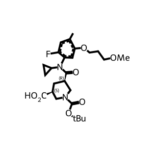 COCCCOc1cc(N(C(=O)[C@@H]2C[C@H](C(=O)O)CN(C(=O)OC(C)(C)C)C2)C2CC2)c(F)cc1C